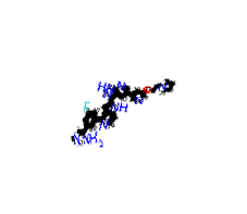 CN(C)CC(N)c1cc(F)cc(-c2nccc3[nH]c(-c4n[nH]c5ncc(-c6cncc(OCCN7CCCC7)c6)cc45)cc23)c1